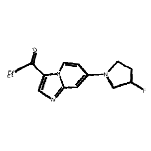 CCC(=O)c1cnc2cc(N3CCC(F)C3)ccn12